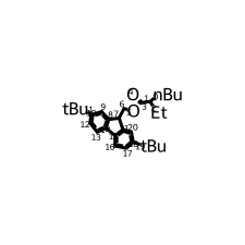 CCCCC(CC)C(=O)OCC1c2cc(C(C)(C)C)ccc2-c2ccc(C(C)(C)C)cc21